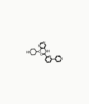 O=C(Nc1cncnc1OC1CCNCC1)c1cccc(-c2ccncc2)n1